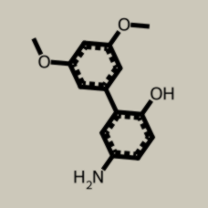 COc1cc(OC)cc(-c2cc(N)ccc2O)c1